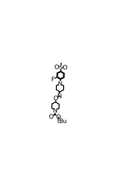 CC(C)(C)OC(=O)N1CCC(ON=C2CCN(c3ccc(S(C)(=O)=O)cc3F)CC2)CC1